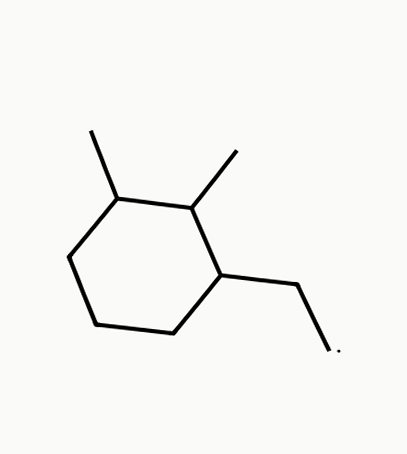 [CH2]CC1CCCC(C)C1C